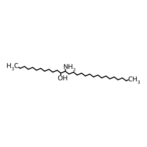 CCCCCCCCCCCCCCCCC(N)C(O)CCCCCCCCCCC